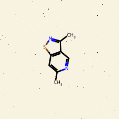 Cc1cc2snc(C)c2cn1